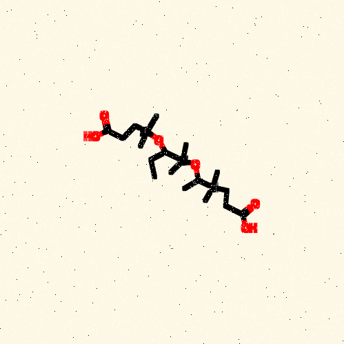 CCC(O[Si](C)(C)CCC(=O)O)[Si](C)(C)OC(C)[Si](C)(C)CCC(=O)O